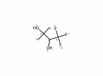 CC(C)(O)C(O)C(F)(F)F